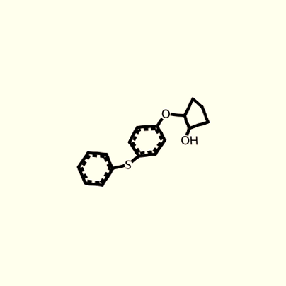 OC1CCCC1Oc1ccc(Sc2ccccc2)cc1